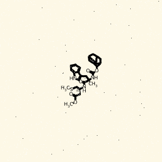 COC(=O)C[C@@H](CSC)NC(=O)[C@@](C)(Cc1c[nH]c2ccccc12)NC(=O)OC1C2CC3CC(C2)CC1C3